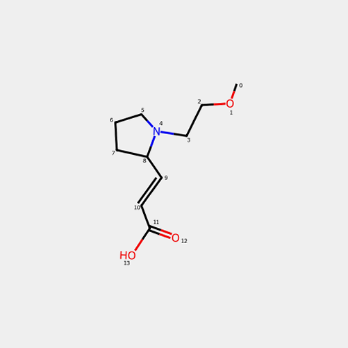 COCCN1CCCC1C=CC(=O)O